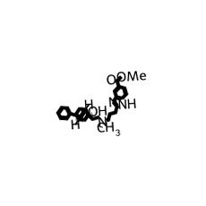 COC(=O)c1ccc2[nH]c(CCCN(C)CC[C@@]3(O)C[C@@H]4CC[C@H]3C=C4c3ccccc3)nc2c1